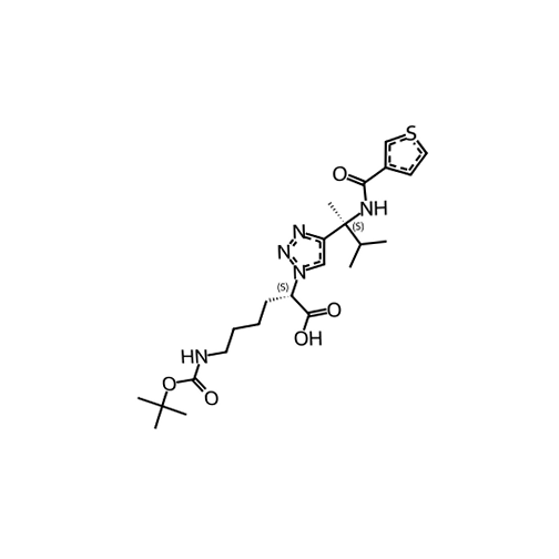 CC(C)[C@](C)(NC(=O)c1ccsc1)c1cn([C@@H](CCCCNC(=O)OC(C)(C)C)C(=O)O)nn1